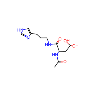 CC(=O)NC(CC(O)O)C(=O)NCCCc1c[nH]cn1